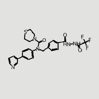 O=C(NNC(=O)C(F)(F)F)c1ccc(CN(C(=O)N2CCSCC2)c2ccc(-c3cccnc3)cc2)cc1